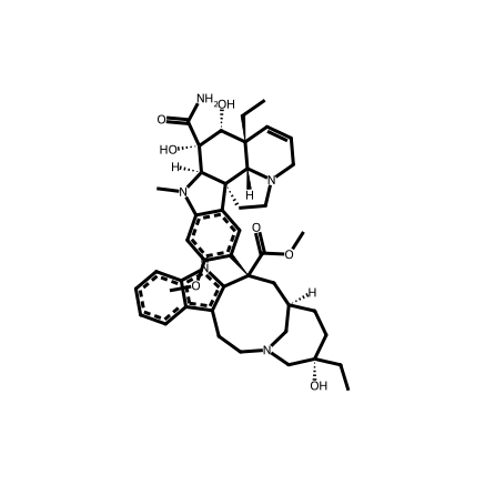 CC[C@]1(O)CC[C@H]2CN(CCc3c([nH]c4ccccc34)[C@@](C(=O)OC)(c3cc4c(cc3OC)N(C)[C@H]3[C@@](O)(C(N)=O)[C@H](O)[C@]5(CC)C=CCN6CC[C@]43[C@@H]65)C2)C1